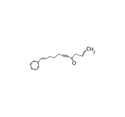 C=C=CCC(=O)C#CCCC/C=C/c1ccccc1